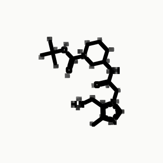 Cc1ncn(CC(=O)NC2CCCN(C(=O)OC(C)(C)C)C2)c1CN